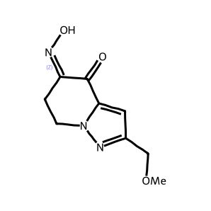 COCc1cc2n(n1)CC/C(=N/O)C2=O